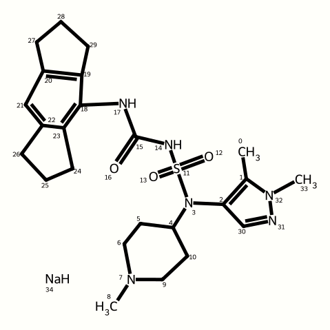 Cc1c(N(C2CCN(C)CC2)S(=O)(=O)NC(=O)Nc2c3c(cc4c2CCC4)CCC3)cnn1C.[NaH]